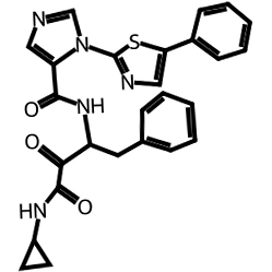 O=C(NC1CC1)C(=O)C(Cc1ccccc1)NC(=O)c1cncn1-c1ncc(-c2ccccc2)s1